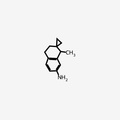 CC1c2cc(N)ccc2CCC12CC2